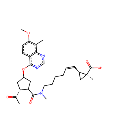 COc1ccc2c(O[C@H]3CC(C(=O)N(C)CCCC/C=C\[C@@H]4C[C@]4(C)C(=O)O)[C@H](C(C)=O)C3)ncnc2c1C